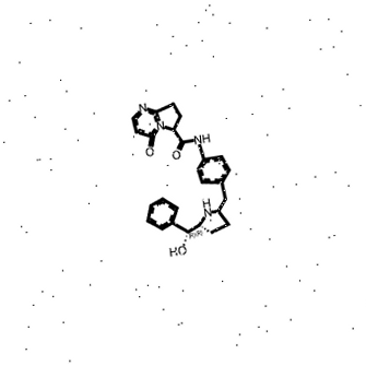 O=C(Nc1ccc(CC2CC[C@H]([C@H](O)c3ccccc3)N2)cc1)C1CCc2nccc(=O)n21